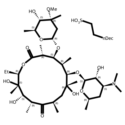 CCCCCCCCCCCCS(=O)(=O)O.CC[C@H]1OC(=O)[C@H](C)[C@@H](O[C@H]2C[C@@](C)(OC)[C@@H](O)[C@H](C)O2)[C@@H](C)[C@@H](O[C@@H]2O[C@H](C)C[C@H](N(C)C)[C@H]2O)[C@](C)(O)C[C@@H](C)C(=O)[C@H](C)[C@H](O)[C@]1(C)O